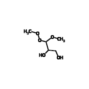 COOC(OC)C(O)CO